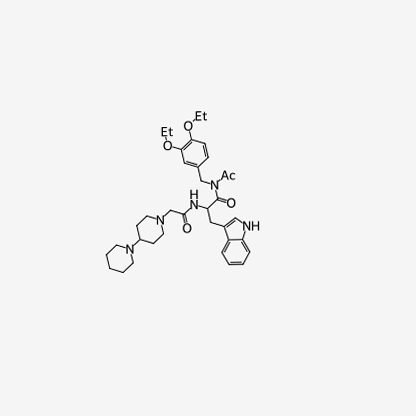 CCOc1ccc(CN(C(C)=O)C(=O)C(Cc2c[nH]c3ccccc23)NC(=O)CN2CCC(N3CCCCC3)CC2)cc1OCC